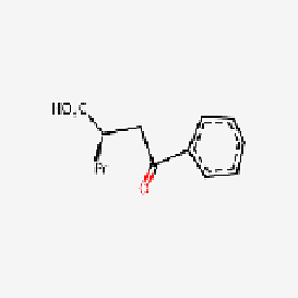 CC(C)[C@H](CC(=O)c1ccccc1)C(=O)O